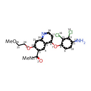 CNC(=O)c1cc2c(Oc3ccc(N)c(Cl)c3Cl)ccnc2cc1OCCOC